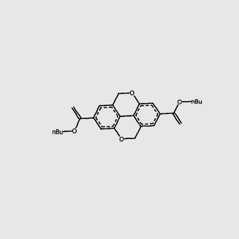 C=C(OCCCC)c1cc2c3c(c1)OCc1cc(C(=C)OCCCC)cc(c1-3)OC2